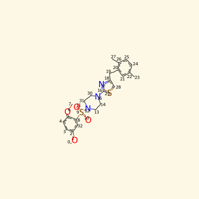 COc1ccc(OC)c(S(=O)(=O)N2CCN(c3nc(Cc4cc(C)ccc4C)cs3)CC2)c1